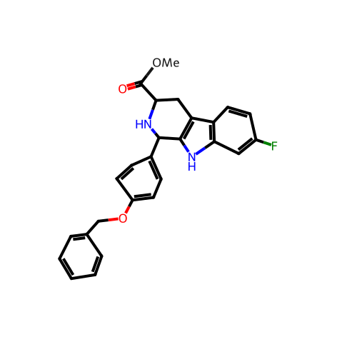 COC(=O)C1Cc2c([nH]c3cc(F)ccc23)C(c2ccc(OCc3ccccc3)cc2)N1